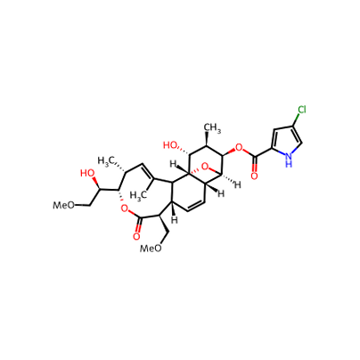 COC[C@@H](O)[C@H]1OC(=O)[C@H](COC)[C@H]2C=C[C@H]3[C@H]4O[C@]2(/C(C)=C/[C@H]1C)[C@@H]3[C@H](O)[C@@H](C)[C@H]4OC(=O)c1cc(Cl)c[nH]1